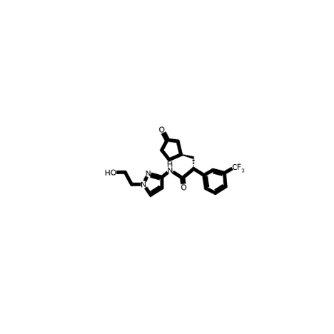 O=C1CC[C@H](C[C@@H](C(=O)Nc2ccn(CCO)n2)c2cccc(C(F)(F)F)c2)C1